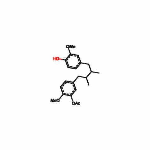 COc1cc(CC(C)C(C)Cc2ccc(OC)c(OC(C)=O)c2)ccc1O